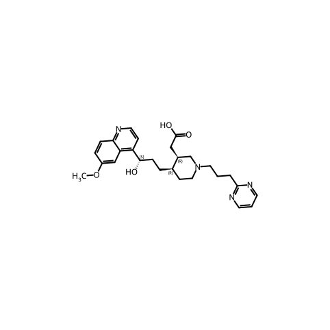 COc1ccc2nccc([C@@H](O)CC[C@@H]3CCN(CCCc4ncccn4)C[C@@H]3CC(=O)O)c2c1